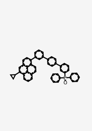 O=P(c1ccccc1)(c1ccccc1)c1cccc(-c2ccc(-c3cccc(-c4ccc5cc(C6CC6)c6cccc7ccc4c5c76)c3)cc2)c1